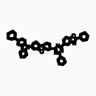 c1ccc(-c2ccc3c(c2)c2ccccc2n3-c2ccc3c(c2)oc2cc(-c4nc(-c5ccccc5)nc(-c5ccc6oc(-c7ccccc7)nc6c5)n4)ccc23)cc1